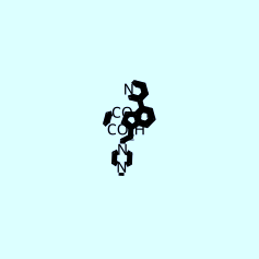 CN1CCN(CCC2=CCc3c2cccc3-c2cccnc2)CC1.O=C(O)/C=C\C(=O)O